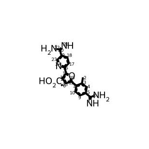 CC(=O)O.Cc1cc(C(=N)N)ccc1-c1ccc(-c2ccc(C(=N)N)cn2)o1